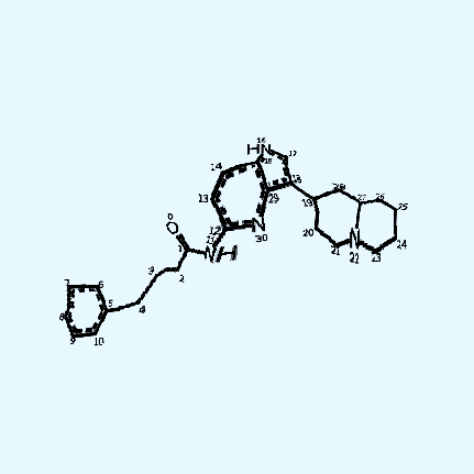 O=C(CCCc1ccccc1)Nc1ccc2[nH]cc(C3CCN4CCCCC4C3)c2n1